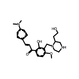 COc1ccc(C(=O)/C=C/c2ccc(N(C)C)cc2)c(O)c1CN1CCNCC1CCO